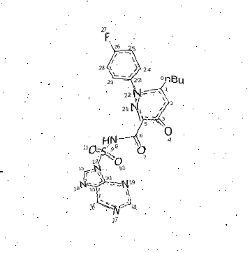 CCCCc1cc(=O)c(C(=O)NS(=O)(=O)n2cnc3cncnc32)nn1-c1ccc(F)cc1